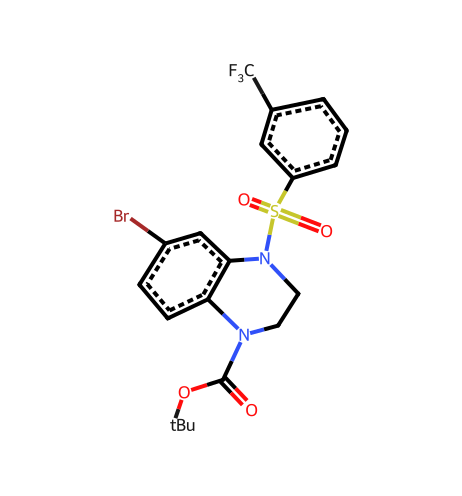 CC(C)(C)OC(=O)N1CCN(S(=O)(=O)c2cccc(C(F)(F)F)c2)c2cc(Br)ccc21